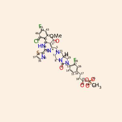 COC(=O)C1=C(CN2CCN3C(=O)N(c4ccc(CCC(=O)OS(C)(=O)=O)cc4F)C[C@@H]3C2)N=C(c2nccs2)N[C@H]1c1ccc(F)cc1Cl